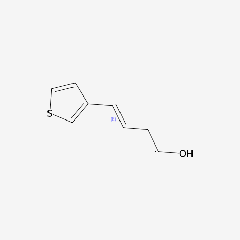 O[CH]C/C=C/c1ccsc1